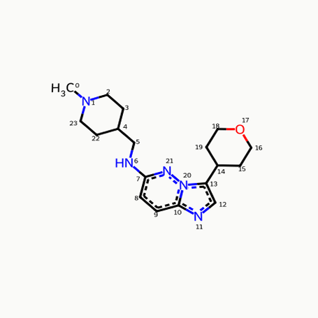 CN1CCC(CNc2ccc3ncc(C4CCOCC4)n3n2)CC1